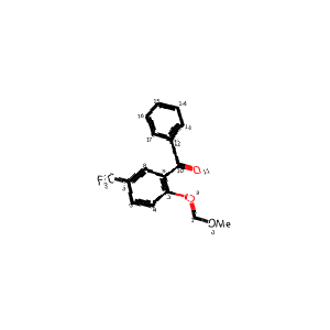 COCOc1ccc(C(F)(F)F)cc1C(=O)c1ccccc1